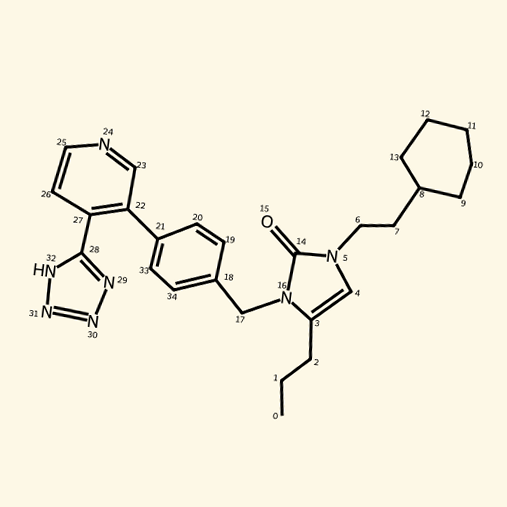 CCCc1cn(CCC2CCCCC2)c(=O)n1Cc1ccc(-c2cnccc2-c2nnn[nH]2)cc1